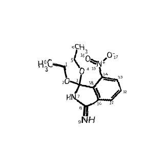 CCOC1(OCC)NC(=N)c2cccc([N+](=O)[O-])c21